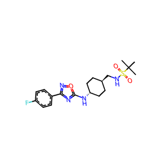 CC(C)(C)S(=O)(=O)NC[C@H]1CC[C@H](Nc2nc(-c3ccc(F)cc3)no2)CC1